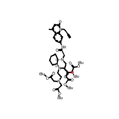 C#CCn1c(=O)cc(C)c2ccc(NC(=O)CN(CCN(CC(=O)OC(C)(C)C)CC(=O)OC(C)(C)C)[C@H]3CCCC[C@@H]3N(CCN(CC(=O)OC(C)(C)C)CC(=O)OC(C)(C)C)CC(=O)OC(C)(C)C)cc21